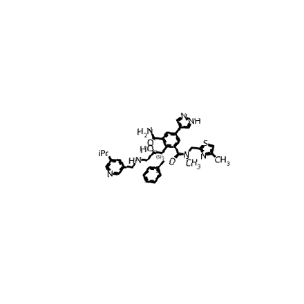 Cc1csc(CN(C)C(=O)c2cc(-c3cn[nH]c3)cc(C(N)=O)c2[C@H](Cc2ccccc2)[C@@H](O)CNCc2cncc(C(C)C)c2)n1